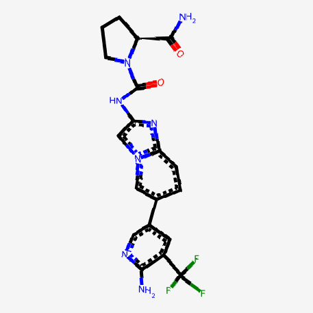 NC(=O)[C@@H]1CCCN1C(=O)Nc1cn2cc(-c3cnc(N)c(C(F)(F)F)c3)ccc2n1